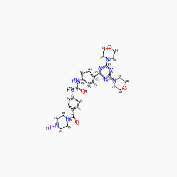 O=C(Nc1ccc(C(=O)N2CCN(I)CC2)cc1)Nc1ccc(-c2nc(N3CCOCC3)nc(N3CCOCC3)n2)cc1